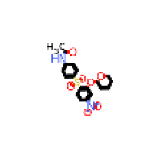 CC(=O)Nc1ccc(S(=O)(=O)c2ccc([N+](=O)[O-])cc2OC2CCCCO2)cc1